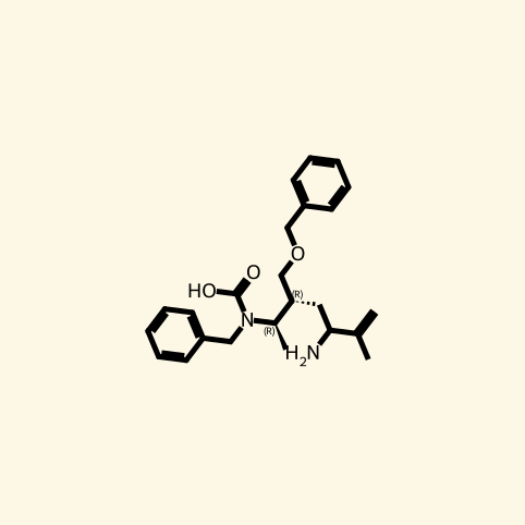 C=C(C)C(N)C[C@@H](COCc1ccccc1)[C@@H](C)N(Cc1ccccc1)C(=O)O